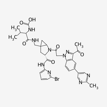 CC(=O)c1nn(CC(=O)N2C3CC3(CNC(=O)C(NC(=O)O)C(C)C)C[C@H]2C(=O)Nc2cccc(Br)n2)c2ccc(-c3cnc(C)nc3)cc12